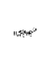 CC(C)(C)[S+]([O-])C(=N)C1CN(C(=O)OCc2ccccc2)C1